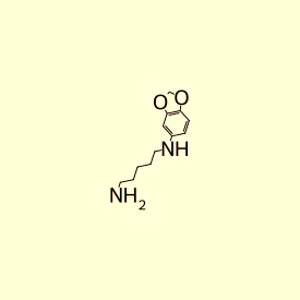 NCCCCCNc1ccc2c(c1)OCO2